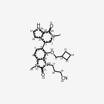 Cn1cc(-c2ccc3c(c2OCC2CCC2)n(CCCC#N)c(=O)n3C)c2cc[nH]c2c1=O